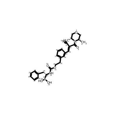 C[C@@H]1COC[C@@H](C)N1C(=O)C(C#N)=Cc1cccc(CCOC(=O)N[C@@H](Cc2ccccc2)B(O)O)c1